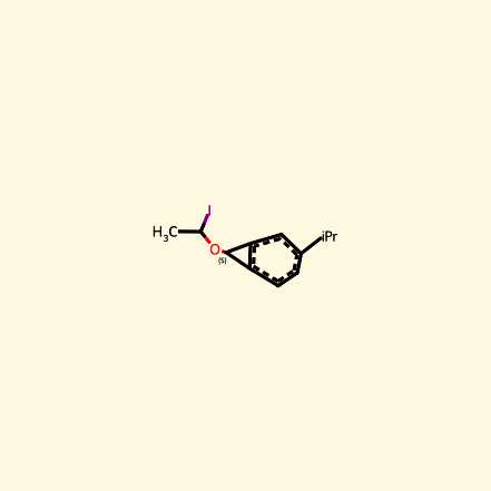 CC(I)O[C@H]1c2ccc(C(C)C)cc21